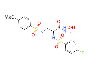 COc1ccc(S(=O)(=O)NCC(NS(=O)(=O)c2ccc(F)cc2F)C(=O)NO)cc1